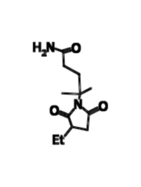 CCC1CC(=O)N(C(C)(C)CCC(N)=O)C1=O